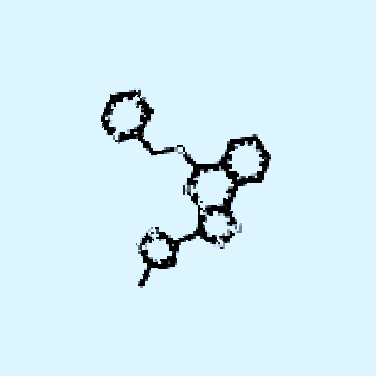 Cc1cc(-c2nnc3c4ccccc4c(OCc4cnccn4)nn23)on1